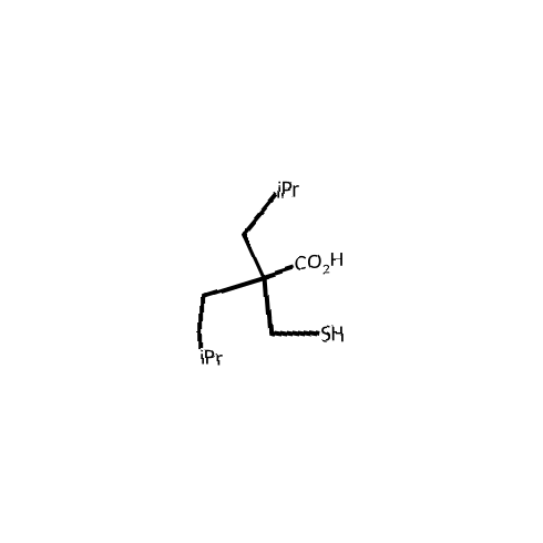 CC(C)CC(CS)(CC(C)C)C(=O)O